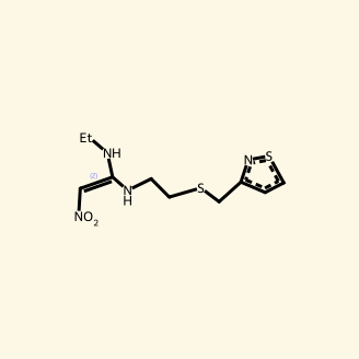 CCN/C(=C/[N+](=O)[O-])NCCSCc1ccsn1